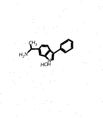 CC(N)c1ccc2c(-c3ccccc3)c[nH]c2c1.Cl